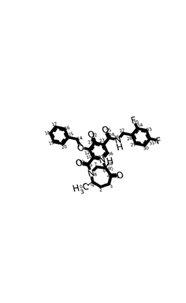 C[C@H]1CCC(=O)[C@H]2CN1C(=O)c1c(OCc3ccccc3)c(=O)c(C(=O)NCc3ccc(F)cc3F)cn12